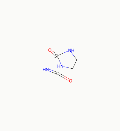 N=C=O.O=[Si]1NCCN1